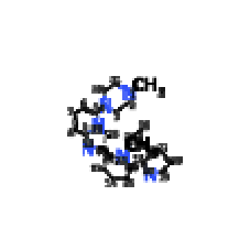 CN1CCN(C2=CC=CC3=N[C@@H]([C@H]4CCC[C@@H](c5ncccc5C5CC5)N4C)CN23)CC1